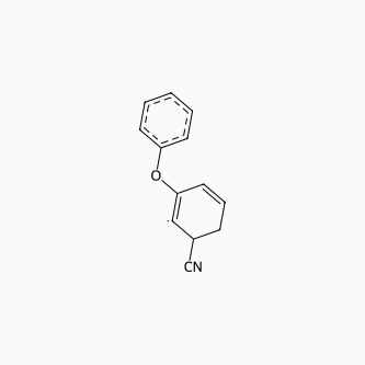 N#CC1[C]=C(Oc2ccccc2)C=CC1